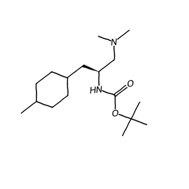 CC1CCC(C[C@@H](CN(C)C)NC(=O)OC(C)(C)C)CC1